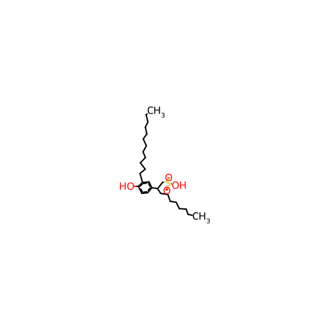 CCCCCCCCCCCCc1cc(C(CCCCCCCC)CS(=O)(=O)O)ccc1O